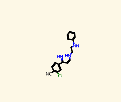 N#Cc1ccc(C(=N)/C=C\NCCNc2ccccc2)cc1Cl